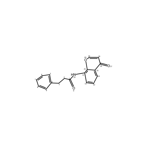 O=C(CCc1ccccc1)Nc1cccc2c(=O)c[c]oc12